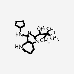 CC(C)(C)C(O)c1nc2c(c(NC3CCCC3)n1)NCCC2